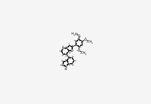 COc1cc(OC)c(-c2cc3nccc(-c4cccc5[nH]ncc45)c3o2)cc1OC